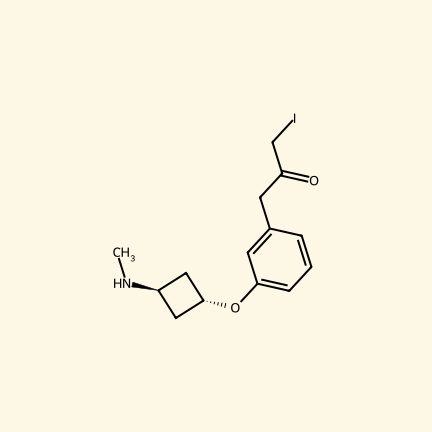 CN[C@H]1C[C@H](Oc2cccc(CC(=O)CI)c2)C1